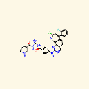 N=C(NC(=O)c1ccc(Nc2ncc3c(n2)C2=CN=C(Cl)C=C(c4ccccc4F)C2=CC3)cc1)NC(=O)C1CCCNC1